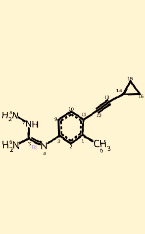 Cc1cc(/N=C(/N)NN)ccc1C#CC1CC1